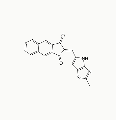 Cc1nc2[nH]c(C=C3C(=O)c4cc5ccccc5cc4C3=O)cc2s1